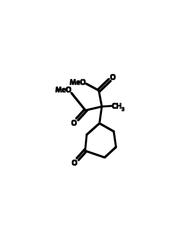 COC(=O)C(C)(C(=O)OC)C1CCCC(=O)C1